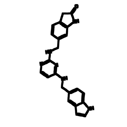 O=C1Cc2ccc(CNc3nccc(NCc4ccc5[nH]ccc5c4)n3)cc2N1